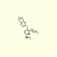 CCc1ccc(Cc2ccc(N)nc2OC)cc1